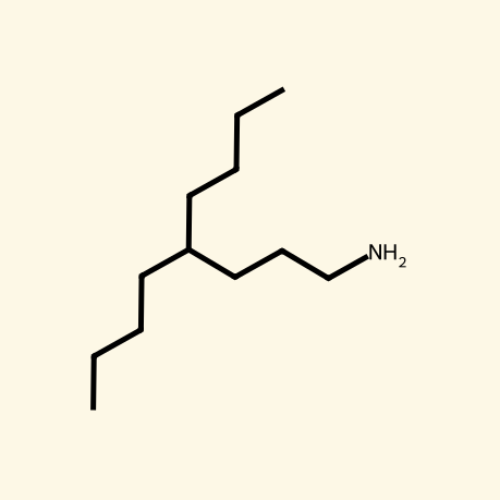 CCCCC(CCCC)CCCN